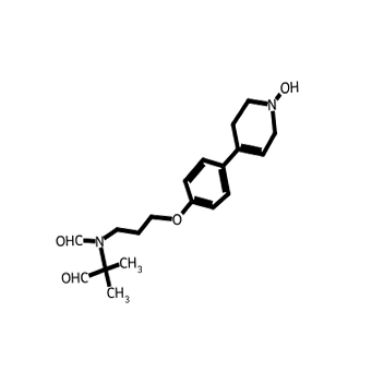 CC(C)(C=O)N(C=O)CCCOc1ccc(C2=CCN(O)CC2)cc1